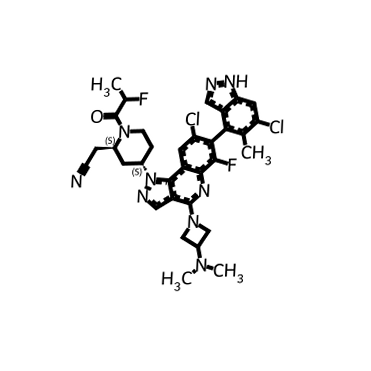 Cc1c(Cl)cc2[nH]ncc2c1-c1c(Cl)cc2c(nc(N3CC(N(C)C)C3)c3cnn([C@H]4CCN(C(=O)C(C)F)[C@H](CC#N)C4)c32)c1F